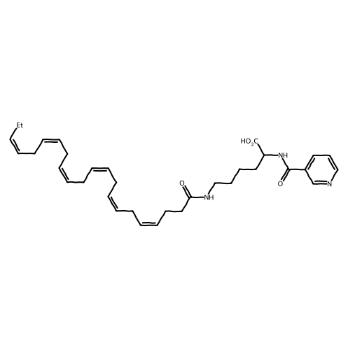 CC/C=C\C/C=C\C/C=C\C/C=C\C/C=C\C/C=C\CCC(=O)NCCCCC(NC(=O)c1cccnc1)C(=O)O